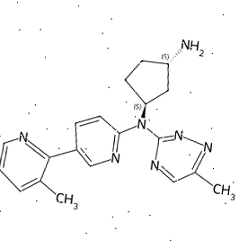 Cc1cnc(N(c2ccc(-c3ncccc3C)cn2)[C@H]2CC[C@H](N)C2)nn1